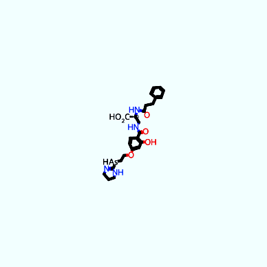 O=C(CCc1ccccc1)N[C@@H](CNC(=O)c1ccc(OCC[AsH]C2=NCCCN2)cc1O)C(=O)O